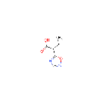 CCC(C(=O)O)c1ncno1